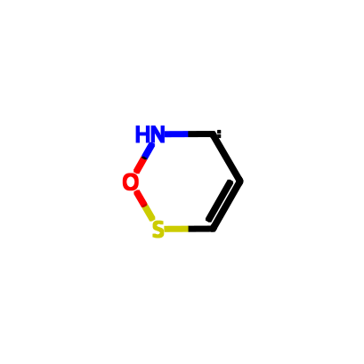 [C]1C=CSON1